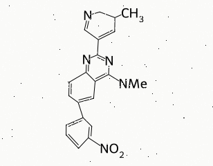 CNc1nc(C2=CC(C)CN=C2)nc2ccc(-c3cccc([N+](=O)[O-])c3)cc12